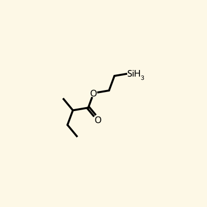 CCC(C)C(=O)OCC[SiH3]